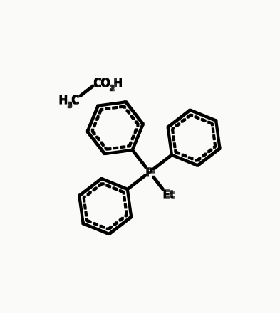 CC(=O)O.CC[P](c1ccccc1)(c1ccccc1)c1ccccc1